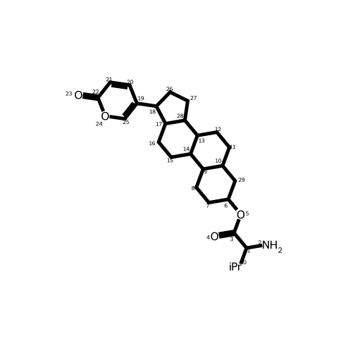 CC(C)C(N)C(=O)OC1CCC2C(CCC3C2CCC2C(c4ccc(=O)oc4)CCC23)C1